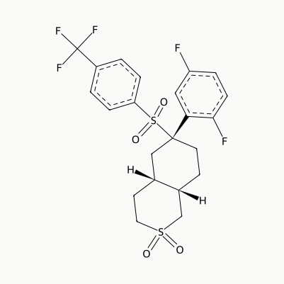 O=S1(=O)CC[C@@H]2C[C@](c3cc(F)ccc3F)(S(=O)(=O)c3ccc(C(F)(F)F)cc3)CC[C@@H]2C1